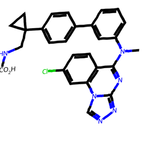 CN(c1cccc(-c2ccc(C3(CNC(=O)O)CC3)cc2)c1)c1nc2nncn2c2cc(Cl)ccc12